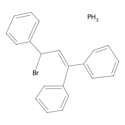 BrC(C=C(c1ccccc1)c1ccccc1)c1ccccc1.P